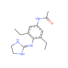 CCc1cc(NC(C)=O)cc(CC)c1N=C1NCCN1